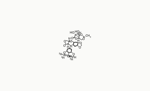 [2H]C([2H])([2H])Oc1cc([C@@H]2c3cc4c(cc3[C@@H](O[C@@H]3O[C@@H]5CO[C@@H](C)O[C@H]5[C@H](O)[C@H]3O)[C@H]3COC(=O)[C@H]23)OCO4)cc(OC([2H])([2H])[2H])c1O